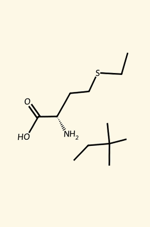 CCC(C)(C)C.CCSCC[C@H](N)C(=O)O